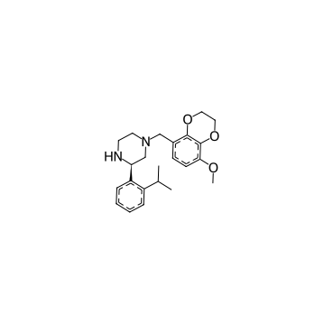 COc1ccc(CN2CCN[C@H](c3ccccc3C(C)C)C2)c2c1OCCO2